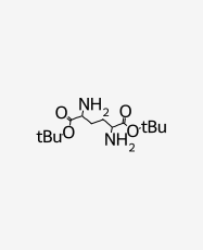 CC(C)(C)OC(=O)C(N)CCC(N)C(=O)OC(C)(C)C